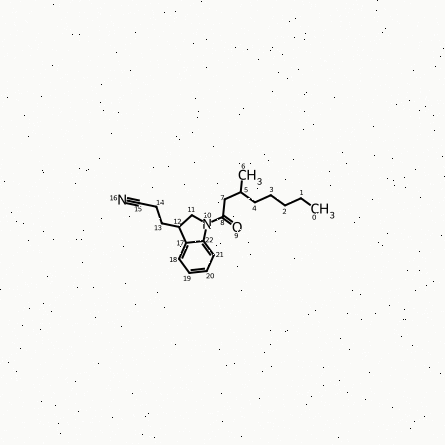 CCCCCC(C)CC(=O)N1CC(CCC#N)c2ccccc21